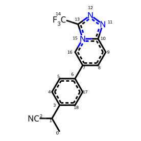 CC(C#N)c1ccc(-c2ccc3nnc(C(F)(F)F)n3c2)cc1